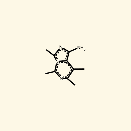 Cc1nc(C)n2c(C)nc(N)c2c1C